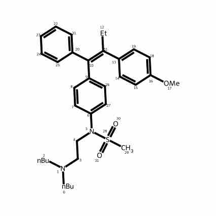 CCCCN(CCCC)CCN(c1ccc(C(=C(CC)c2ccc(OC)cc2)c2ccccc2)cc1)S(C)(=O)=O